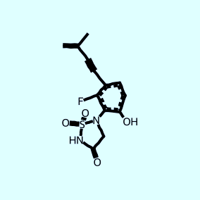 C=C(C)C#Cc1ccc(O)c(N2CC(=O)NS2(=O)=O)c1F